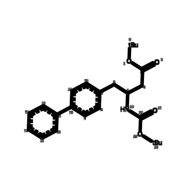 CC(C)(C)OC(=O)CC(Cc1ccc(-c2ccccc2)cc1)NC(=O)OC(C)(C)C